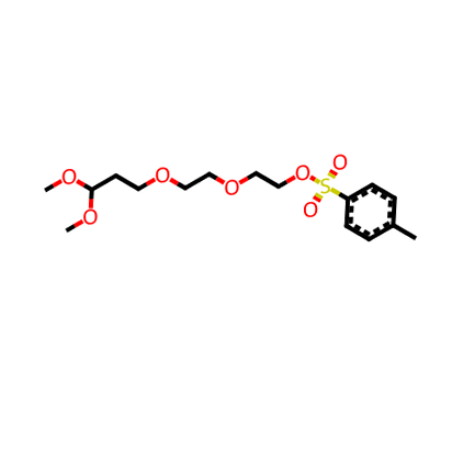 COC(CCOCCOCCOS(=O)(=O)c1ccc(C)cc1)OC